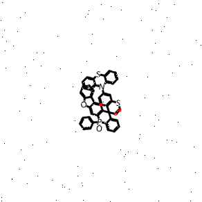 O=P1(c2ccccc2)c2ccccc2C2(c3ccccc3Sc3cc(N4c5ccccc5Sc5ccccc54)ccc32)c2cc3c(cc21)oc1ccccc13